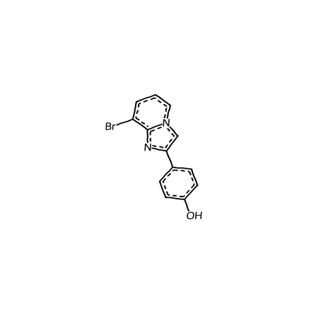 Oc1ccc(-c2cn3cccc(Br)c3n2)cc1